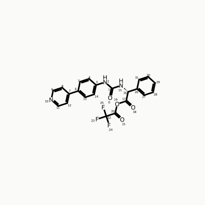 O=C(Nc1ccc(-c2ccncc2)cc1)N[C@@H](C(=O)OC(=O)C(F)(F)F)c1ccccc1